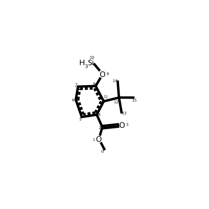 COC(=O)c1cc[c]c(O[SiH3])c1C(C)(C)C